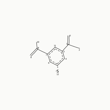 C=C(C)c1cccc(C(=C)C)c1.[S]